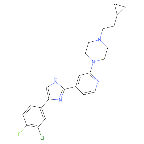 Fc1ccc(-c2c[nH]c(-c3ccnc(N4CCN(CCC5CC5)CC4)c3)n2)cc1Cl